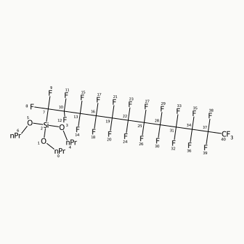 CCCO[Si](OCCC)(OCCC)C(F)(F)C(F)(F)C(F)(F)C(F)(F)C(F)(F)C(F)(F)C(F)(F)C(F)(F)C(F)(F)C(F)(F)C(F)(F)C(F)(F)F